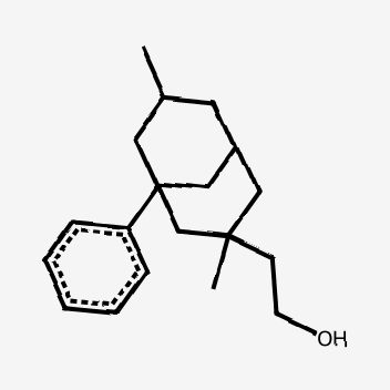 CC1CC2CC(C)(CCO)CC(c3ccccc3)(C1)C2